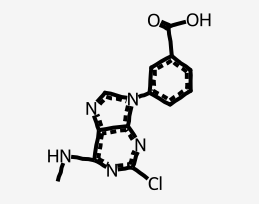 CNc1nc(Cl)nc2c1ncn2-c1cccc(C(=O)O)c1